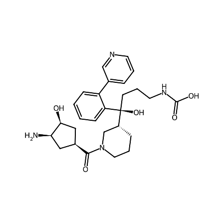 N[C@@H]1C[C@H](C(=O)N2CCC[C@@H]([C@@](O)(CCCNC(=O)O)c3ccccc3-c3cccnc3)C2)C[C@@H]1O